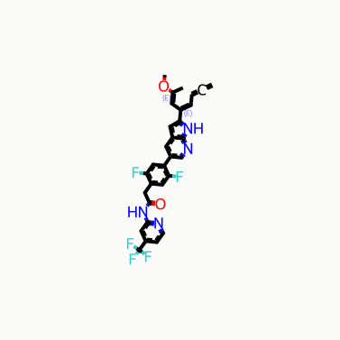 C=C=C/C=C(\C=C(/C)OC)c1cc2cc(-c3cc(F)c(CC(=O)Nc4cc(C(F)(F)F)ccn4)cc3F)cnc2[nH]1